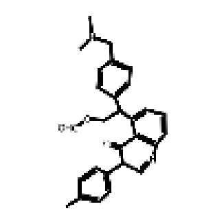 Cc1ccc(C2C=Nc3cccc(C(COC=O)c4ccc(CN(C)C)cc4)c3C2=O)cc1